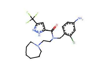 Nc1ccc(CN(CCN2CCCCCC2)C(=O)c2cc(C(F)(F)F)n[nH]2)c(Cl)c1